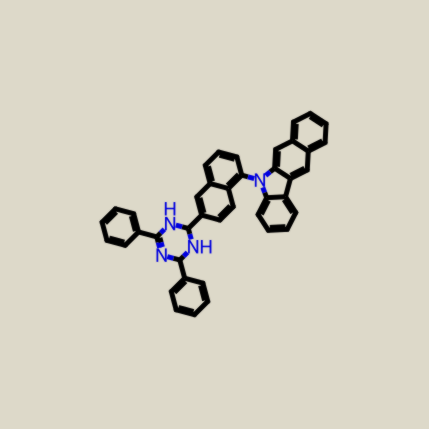 c1ccc(C2=NC(c3ccccc3)NC(c3ccc4c(-n5c6ccccc6c6cc7ccccc7cc65)cccc4c3)N2)cc1